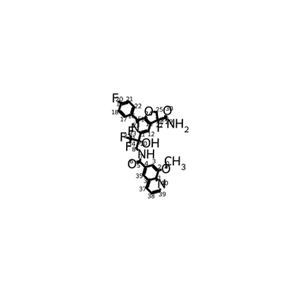 COc1cc(C(=O)NC[C@](O)(c2cc3c(c(-c4ccc(F)cc4)n2)OCC3(F)C(N)=O)C(F)(F)F)cc2cccnc12